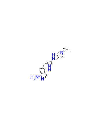 CN1CCC(CNC2=CNC(Cc3ccc4c(N)nccc4c3)C2)CC1